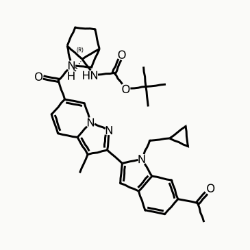 CC(=O)c1ccc2cc(-c3nn4cc(C(=O)N5CC6CCC5[C@@H]6NC(=O)OC(C)(C)C)ccc4c3C)n(CC3CC3)c2c1